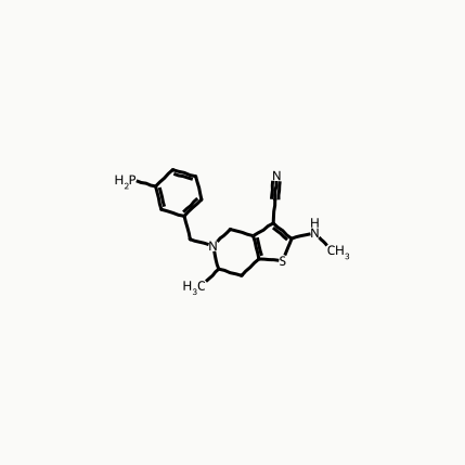 CNc1sc2c(c1C#N)CN(Cc1cccc(P)c1)C(C)C2